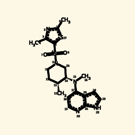 Cc1nc(C)c(S(=O)(=O)N2CC[C@@H](C)[C@@H](N(C)c3ccnc4[nH]ccc34)C2)s1